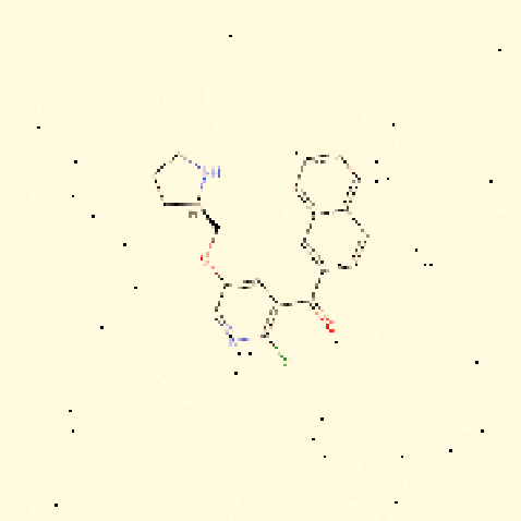 O=C(c1ccc2ccccc2c1)c1cc(OC[C@H]2CCCN2)cnc1Cl